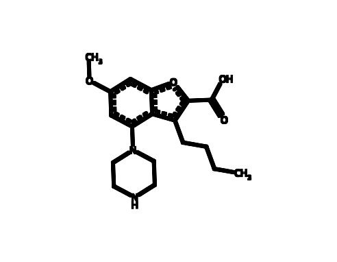 CCCCc1c(C(=O)O)oc2cc(OC)cc(N3CCNCC3)c12